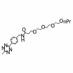 CCCOCCOCCOCCOCCC(=O)NCc1ccc(-c2nnc(C)nn2)cc1